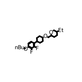 CCCCOc1ccc(C2CCC(OCC3CCC(CC)CO3)CC2)c(F)c1F